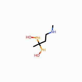 CNCCC(C)(PO)PO